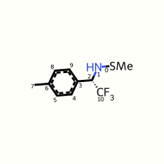 CSN[C@@H](c1ccc(C)cc1)C(F)(F)F